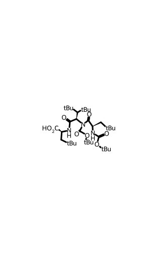 CC(C)(C)C[C@H](NC(=O)[C@@H](C(C(C)(C)C)C(C)(C)C)N(C(=O)OC(C)(C)C)C(=O)[C@@H](CC(C)(C)C)NC(=O)OC(C)(C)C)C(=O)O